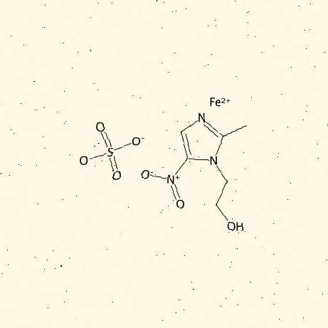 Cc1ncc([N+](=O)[O-])n1CCO.O=S(=O)([O-])[O-].[Fe+2]